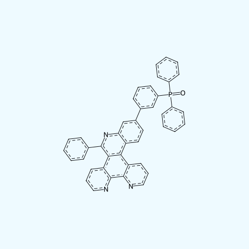 O=P(c1ccccc1)(c1ccccc1)c1cccc(-c2ccc3c(c2)nc(-c2ccccc2)c2c4cccnc4c4ncccc4c32)c1